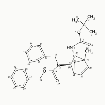 CC(C)(C)OC(=O)N[C@H]1[C@H](N(Cc2ccccc2)C(=O)OCc2ccccc2)C2C=CC1(C)C2